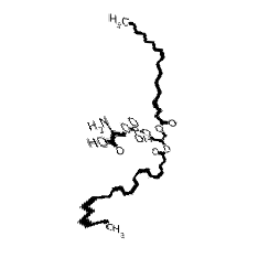 CC/C=C\C/C=C\C/C=C\C/C=C\C/C=C\C/C=C\CCC(=O)O[C@H](COC(=O)CCCCCCC/C=C\CCCCCCC)COP(=O)(O)OC[C@H](N)C(=O)O